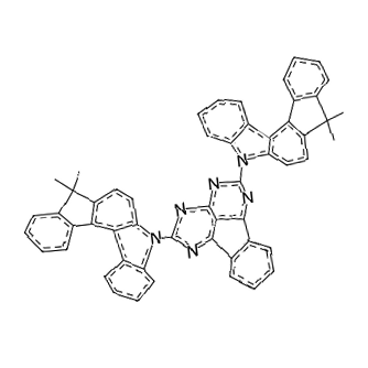 CC1(C)c2ccccc2-c2c1ccc1c2c2ccccc2n1-c1nc2c3c(nc(-n4c5ccccc5c5c6c(ccc54)C(C)(C)c4ccccc4-6)nc3n1)-c1ccccc1-2